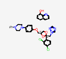 CC(C)N1CCN(c2ccc(OC[C@H]3CO[C@](Cn4cncn4)(c4ccc(Cl)cc4Cl)O3)cc2)CC1.Oc1cccc2cccnc12